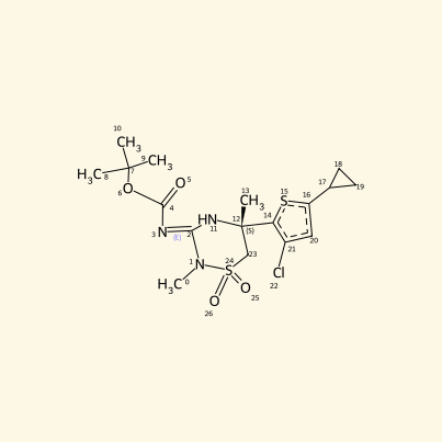 CN1/C(=N/C(=O)OC(C)(C)C)N[C@](C)(c2sc(C3CC3)cc2Cl)CS1(=O)=O